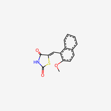 COc1ccc2ccccc2c1C=C1SC(=O)NC1=O